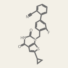 N#Cc1ccccc1-c1ccc(Cn2c(=O)[nH]c(=O)c3cc(C4CC4)sc32)c(F)c1